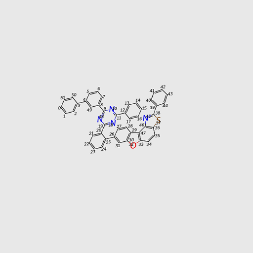 c1ccc(-c2cccc(-c3nc(-c4ccccc4)nc(-c4ccccc4-c4ccc5c(c4)oc4ccc6sc(-c7ccccc7)nc6c45)n3)c2)cc1